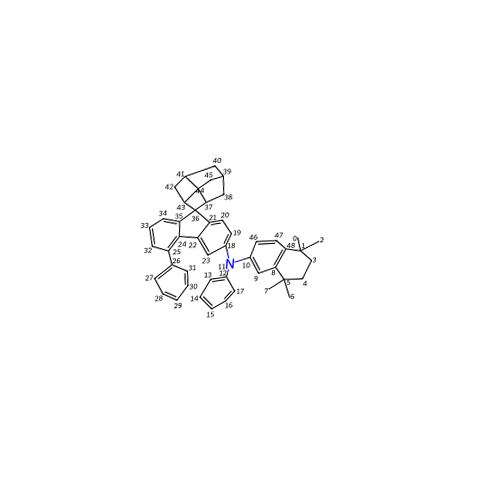 CC1(C)CCC(C)(C)c2cc(N(c3ccccc3)c3ccc4c(c3)-c3c(-c5ccccc5)cccc3C43C4CC5CC6CC3C64C5)ccc21